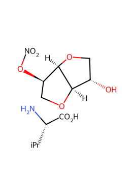 CC(C)[C@H](N)C(=O)O.O=[N+]([O-])O[C@@H]1CO[C@H]2[C@@H]1OC[C@@H]2O